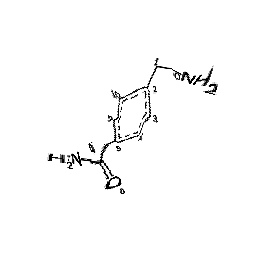 NCc1c[c]c(C(N)=O)cc1